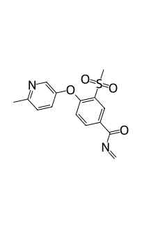 C=NC(=O)c1ccc(Oc2ccc(C)nc2)c(S(C)(=O)=O)c1